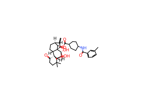 C=C1C(=O)[C@]23[C@H](OC(=O)C4CCC(NC(=O)c5cccc(C)c5)CC4)[C@H]1CC[C@H]2[C@@]12CO[C@@]3(O)[C@@H](O)[C@@H]1C(C)(C)CCC2=O